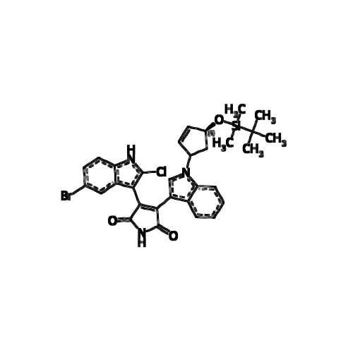 CC(C)(C)[Si](C)(C)O[C@@H]1C=CC(n2cc(C3=C(c4c(Cl)[nH]c5ccc(Br)cc45)C(=O)NC3=O)c3ccccc32)C1